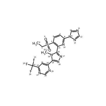 CCS(=O)(=O)c1ccc(-n2cncn2)nc1-c1nnc(-c2cc(C(F)(F)F)ncn2)n1C